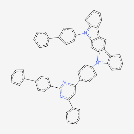 c1ccc(-c2ccc(-c3nc(-c4ccccc4)cc(-c4ccc(-n5c6ccccc6c6cc7c8ccccc8n(-c8ccc(-c9ccccc9)cc8)c7cc65)cc4)n3)cc2)cc1